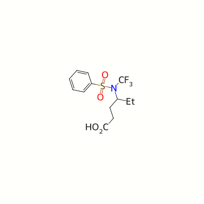 CCC(CCC(=O)O)N(C(F)(F)F)S(=O)(=O)c1ccccc1